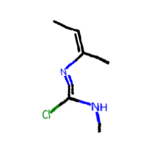 C/C=C(C)\N=C(\Cl)NC